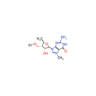 CCOC[C@H]1[C@@H](O)[C@H](n2c[n+](C)c3c(=O)[nH]c(N)nc32)O[C@@H]1C